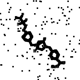 COC(=O)c1ccc(CN2C[C@@H]3C[C@H]2CN3Cc2ccc(OCC(F)(F)C(F)F)cc2)cc1